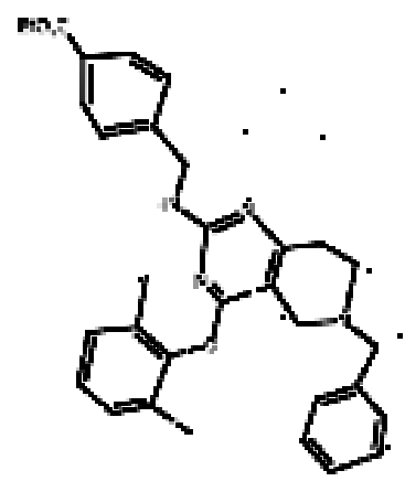 CCOC(=O)c1ccc(CNc2nc3c(c(Oc4c(C)cccc4C)n2)CN(Cc2ccccc2)CC3)cc1